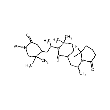 CC(C)N1CC(C)(C)C(CC(C)N2C(=O)C(CC(C)N3C(=O)CCCC3(F)F)CCC2(C)C)CC1=O